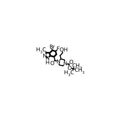 Cc1n[nH]c2c(C(=O)N3CCN(C(=O)OC(C)(C)C)CC3CCO)cc(F)c(Br)c12